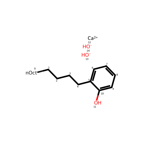 CCCCCCCCCCCCc1ccccc1O.[Ca+2].[OH-].[OH-]